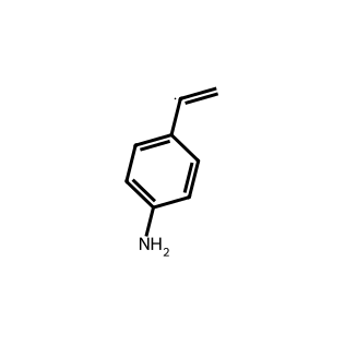 C=[C]c1ccc(N)cc1